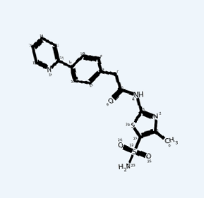 Cc1nc(NC(=O)Cc2ccc(-c3ccccn3)cc2)sc1S(N)(=O)=O